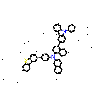 c1ccc(-n2c3ccccc3c3cc(-c4ccc(N(c5ccc(-c6ccc7sc8ccccc8c7c6)cc5)c5ccc6ccccc6c5)c5ccccc45)ccc32)cc1